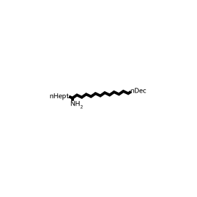 CCCCCCCCCCCCCCCCCCCCCCC(N)CCCCCCC